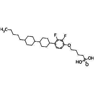 CCCCCC1CCC(C2CCC(c3ccc(OCCCCP(=O)(O)O)c(F)c3F)CC2)CC1